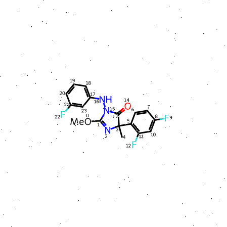 COC1=NC(C)(c2ccc(F)cc2F)C(=O)N1Nc1cccc(F)c1